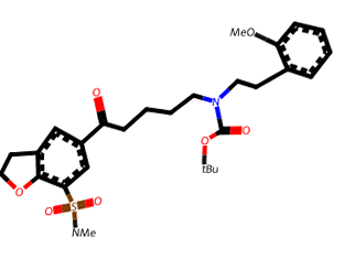 CNS(=O)(=O)c1cc(C(=O)CCCCN(CCc2ccccc2OC)C(=O)OC(C)(C)C)cc2c1OCC2